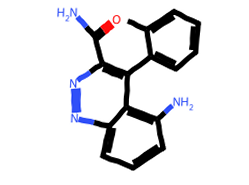 Cc1ccccc1-c1c(C(N)=O)nnc2cccc(N)c12